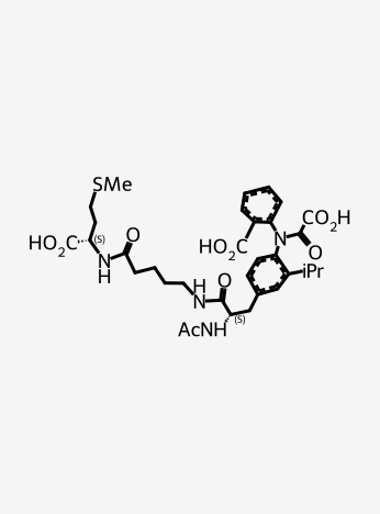 CSCC[C@H](NC(=O)CCCCNC(=O)[C@H](Cc1ccc(N(C(=O)C(=O)O)c2ccccc2C(=O)O)c(C(C)C)c1)NC(C)=O)C(=O)O